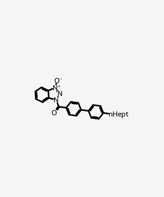 CCCCCCCc1ccc(-c2ccc(C(=O)n3n[n+]([O-])c4ccccc43)cc2)cc1